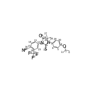 CC(C)Oc1ccc(N2C(=S)N(c3ccc(C#N)c(C(F)(F)F)c3)C(=O)C2(C)C)cc1